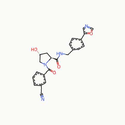 N#Cc1cccc(C(=O)N2C[C@H](O)C[C@H]2C(=O)NCc2ccc(-c3cnco3)cc2)c1